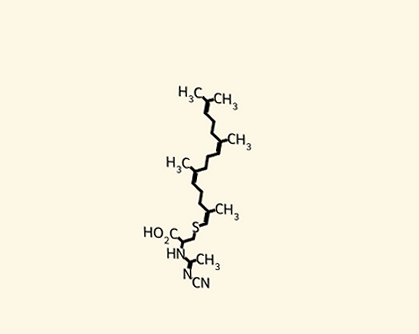 CC(C)=CCCC(C)=CCCC(C)=CCCC(C)=CSCC(N/C(C)=N/C#N)C(=O)O